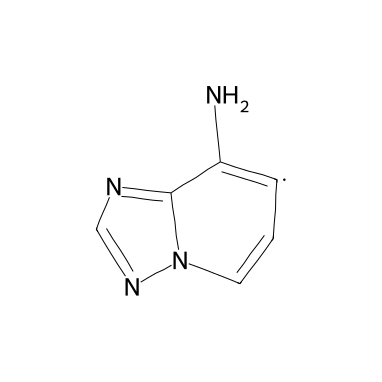 Nc1[c]ccn2ncnc12